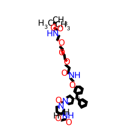 CC(C)(C)OC(=O)NCCOCCOCCOCCC(=O)NCCOc1cccc([C@H](c2ccccc2)C2CCN(C(=O)N3CC[C@@H]4OCC(=O)N[C@@H]4C3)CC2)c1